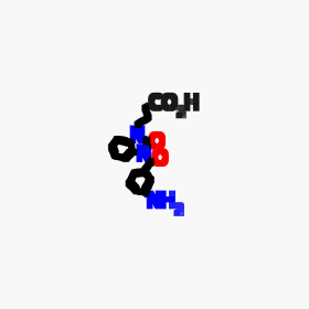 Nc1cccc(C(=O)n2c(=O)n(CCCC(=O)O)c3ccccc32)c1